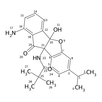 CC(C)c1ccc2c(c1)OC1(O)c3cccc(N)c3C(=O)C21NC(=O)C(C)(C)C